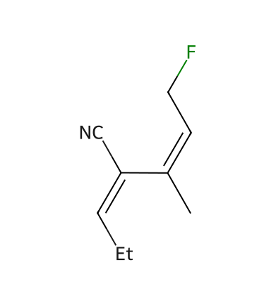 CC/C=C(C#N)\C(C)=C/CF